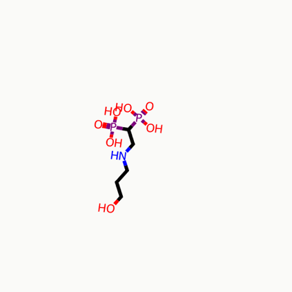 O=P(O)(O)C(CNCCCO)P(=O)(O)O